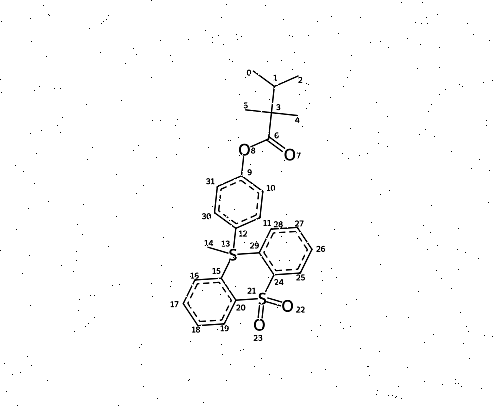 CC(C)C(C)(C)C(=O)Oc1ccc(S2(C)c3ccccc3S(=O)(=O)c3ccccc32)cc1